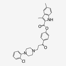 Cc1ccc2[nH]c(C(=O)Oc3ccc(C(=O)CCN4CCN(c5ccccc5Cl)CC4)cc3)c(C)c2c1